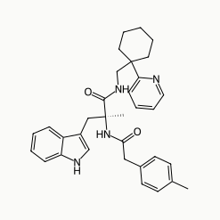 Cc1ccc(CC(=O)N[C@@](C)(Cc2c[nH]c3ccccc23)C(=O)NCC2(c3ccccn3)CCCCC2)cc1